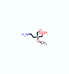 CO[Si](CO)(CO)CCN